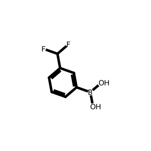 OB(O)c1cccc(C(F)F)c1